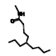 CCCCC(CCC)CCCC(=O)NC